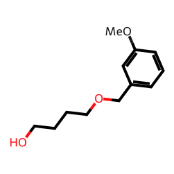 COc1cccc(COCCCCO)c1